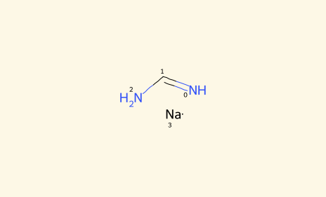 N=CN.[Na]